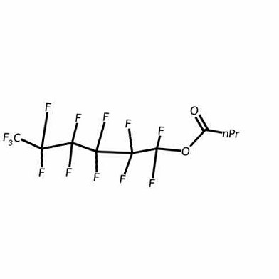 CCCC(=O)OC(F)(F)C(F)(F)C(F)(F)C(F)(F)C(F)(F)C(F)(F)F